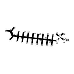 CC(C)=C(C)C(C)(C)C(C)(C)C(C)(C)C(C)(C)C(C)(C)C(C)(C)C(C)(C)C(C)(C)O[Si](C)(C)C(C)(C)C